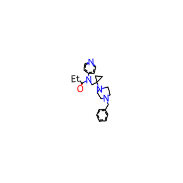 CCC(=O)N(CC1(N2CCN(Cc3ccccc3)CC2)CC1)c1ccncc1